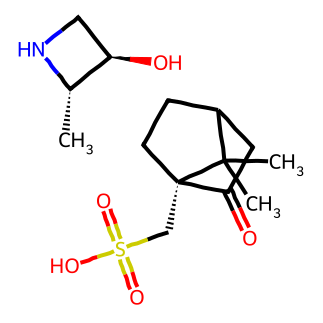 CC1(C)C2CC[C@]1(CS(=O)(=O)O)C(=O)C2.C[C@@H]1NC[C@H]1O